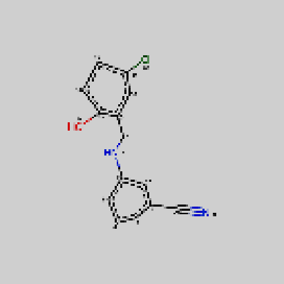 N#Cc1cccc(NCc2cc(Cl)ccc2O)c1